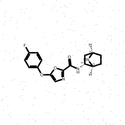 O=C(N[C@@H]1C[C@H]2CC[C@@H]1N2)c1ncc(Oc2ccc(F)cc2)o1